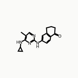 Cc1cnc(Nc2ccc3c(c2)CCCC3=O)nc1NC1CC1